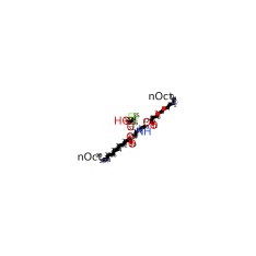 CCCCCCCC/C=C\CCCCCCCC(=O)OCCNCCOC(=O)CCCCCCC/C=C\CCCCCCCC.O=C(O)C(F)(F)F